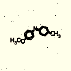 COc1ccc(N=C2CCC(C)CC2)cc1